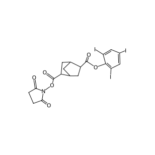 O=C(Oc1c(I)cc(I)cc1I)C1CC2CC1CC2C(=O)ON1C(=O)CCC1=O